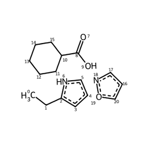 CCc1ccc[nH]1.O=C(O)C1CCCCC1.c1cnoc1